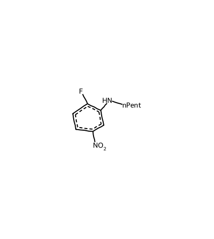 CCCCCNc1cc([N+](=O)[O-])ccc1F